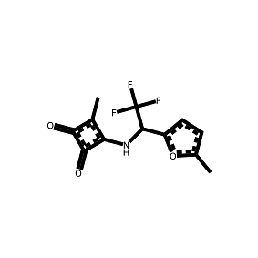 Cc1ccc(C(Nc2c(C)c(=O)c2=O)C(F)(F)F)o1